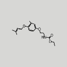 CCOC(=O)NCCOc1ccc(OCC=C(C)C)c(C)c1